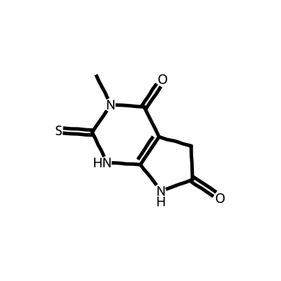 Cn1c(=S)[nH]c2c(c1=O)CC(=O)N2